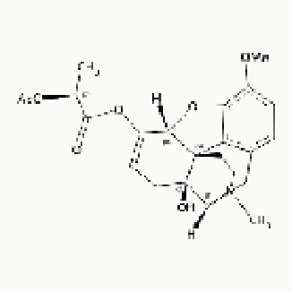 COc1ccc2c3c1O[C@H]1C(OC(=O)[C@H](C)OC(C)=O)=CC[C@@]4(O)[C@@H](C2)N(C)CC[C@]314